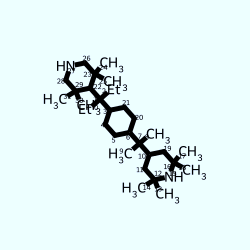 CCC(CC)(C1CCC(C(C)(C)C2CC(C)(C)NC(C)(C)C2)CC1)C1C(C)(C)CNCC1(C)C